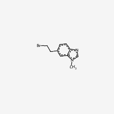 Cn1cnc2ccc(CCBr)cc21